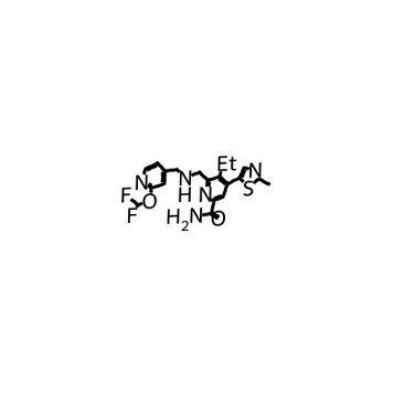 CCc1c(-c2cnc(C)s2)cc(C(N)=O)nc1CNCc1ccnc(OC(F)F)c1